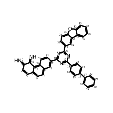 N=C1C=Cc2ccc3cc(-c4nc(-c5ccc(-c6ccccc6)cc5)nc(-c5ccc6oc7ccccc7c6c5)n4)ccc3c2C1=N